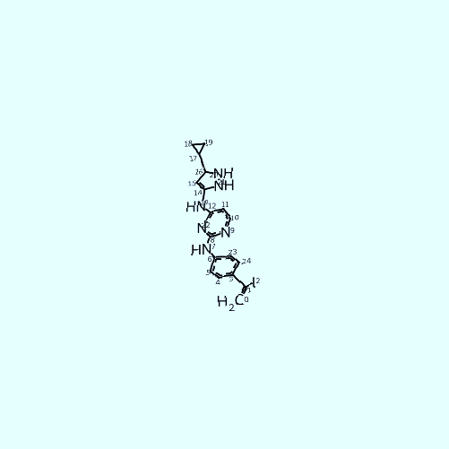 C=C(I)c1ccc(Nc2nccc(NC3=CC(C4CC4)NN3)n2)cc1